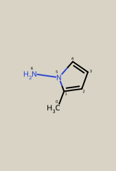 Cc1cccn1N